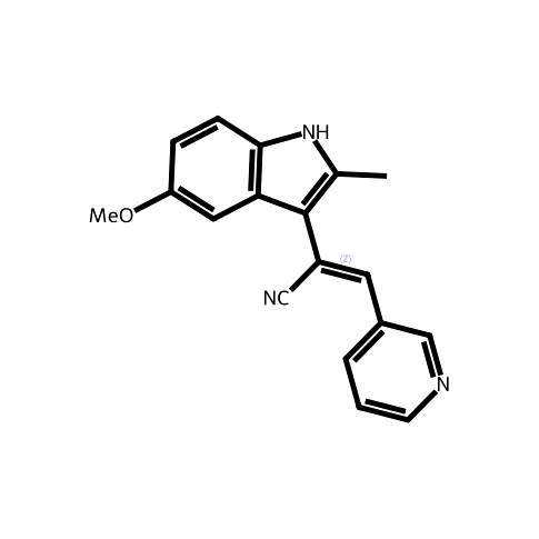 COc1ccc2[nH]c(C)c(/C(C#N)=C/c3cccnc3)c2c1